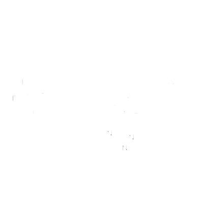 CC1(C)Cc2cccc(COC(F)(F)c3nnc4ccc(-c5ccc(OC(F)(F)F)cc5)cn34)c2O1